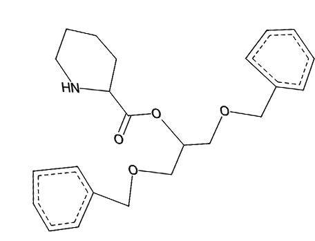 O=C(OC(COCc1ccccc1)COCc1ccccc1)C1CCCCN1